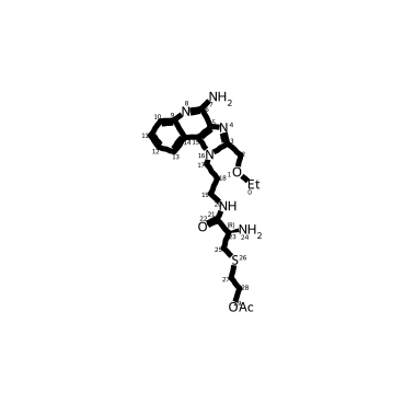 CCOCc1nc2c(N)nc3ccccc3c2n1CCCNC(=O)[C@@H](N)CSCCOC(C)=O